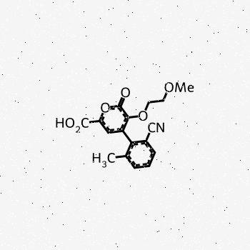 COCCOc1c(-c2c(C)cccc2C#N)cc(C(=O)O)oc1=O